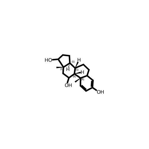 C[C@]12C=CC(O)=CC1CC[C@@H]1[C@H]2C(O)C[C@]2(C)C(O)CC[C@@H]12